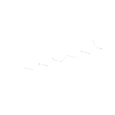 CP(C)CCCCCCCCCCC(=O)O